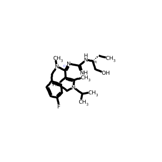 CC[C@H](CO)NC(=N)/N=C(\C1=C(C)N(C(C)C)CN1)N(C)Cc1ccc(F)cc1